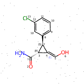 NC(=O)[C@H]1/C(=C/O)[C@@H]1c1cccc(Cl)c1